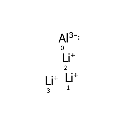 [Al-3].[Li+].[Li+].[Li+]